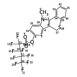 Cn1c2c(c3cc(OS(=O)(=O)C(F)(F)C(F)(F)C(F)(F)C(F)(F)F)ccc31)CSc1ccccc1-2